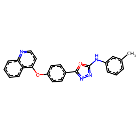 Cc1cccc(Nc2nnc(-c3ccc(Oc4ccnc5ccccc45)cc3)o2)c1